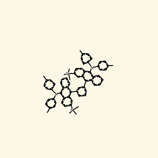 Cc1ccc(N(c2ccc(C)cc2)c2c3ccccc3c(-c3cccc(-c4c5ccccc5c(N(c5ccc(C)cc5)c5ccc(C)cc5)c5ccc([Si](C)(C)C)cc45)c3)c3cc([Si](C)(C)C)ccc23)cc1